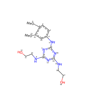 COc1ccc(Nc2nc(NCCO)nc(NCCO)n2)cc1OC